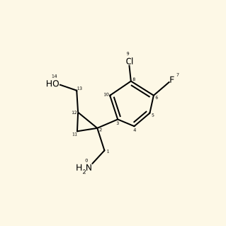 NCC1(c2ccc(F)c(Cl)c2)CC1CO